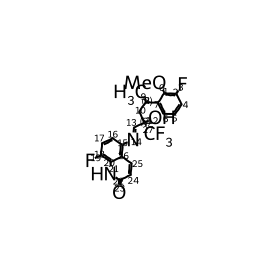 COc1c(F)cccc1[C@H](C)C[C@](O)(C=Nc1ccc(F)c2[nH]c(=O)ccc12)C(F)(F)F